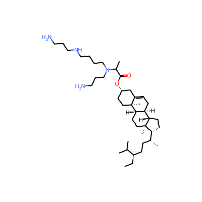 CC[C@H](CC[C@@H](C)[C@H]1CC[C@H]2[C@@H]3CC=C4C[C@@H](OC(=O)C(C)N(CCCN)CCCCNCCCN)CC[C@]4(C)[C@H]3CC[C@]12C)C(C)C